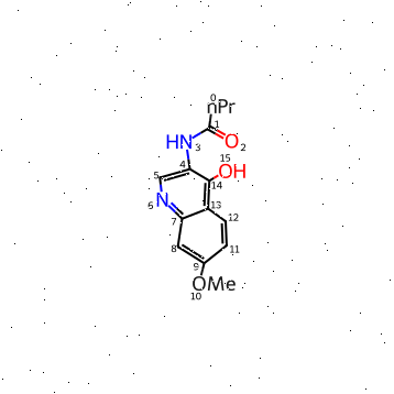 CCCC(=O)Nc1cnc2cc(OC)ccc2c1O